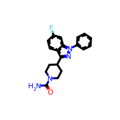 NC(=O)N1CCC(c2nn(-c3ccccc3)c3cc(F)ccc23)CC1